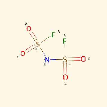 O=S(=O)(F)[N]S(=O)(=O)F